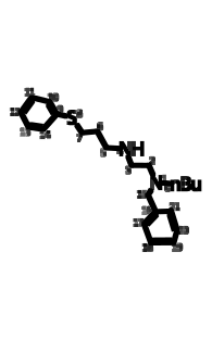 CCCCN(CCNCCCSc1ccccc1)Cc1ccccc1